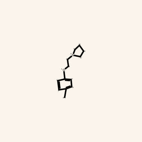 [CH2]c1ccc(OCCN2CCCC2)cc1